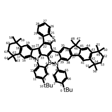 CC(C)(C)c1ccc(N2B3c4cc(C(C)(C)C)ccc4-n4c5cc6c(cc5c5c7c(sc8ccccc87)c(c3c54)-c3cc4c(cc32)-c2cc3c(cc2C4(C)C)C(C)(C)CCC3(C)C)C(C)(C)CCC6(C)C)cc1